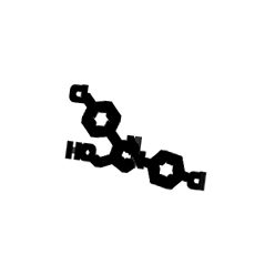 OCc1cn(-c2ccc(Cl)cc2)nc1-c1ccc(Cl)cc1